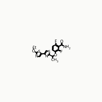 CCOc1ncc(-c2csc(C(C)Oc3ccc(F)c(C(N)=O)c3F)n2)s1